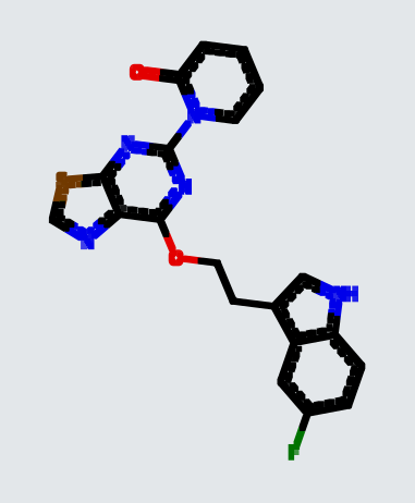 O=c1ccccn1-c1nc(OCCc2c[nH]c3ccc(F)cc23)c2ncsc2n1